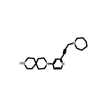 C(#Cc1cc(N2CCC3(CCNCC3)CC2)ccn1)CN1CCCCCC1